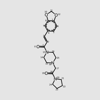 O=C(/C=C/c1ccc2c(c1)OCO2)N1CCN(CC(=O)N2CCCC2)CC1